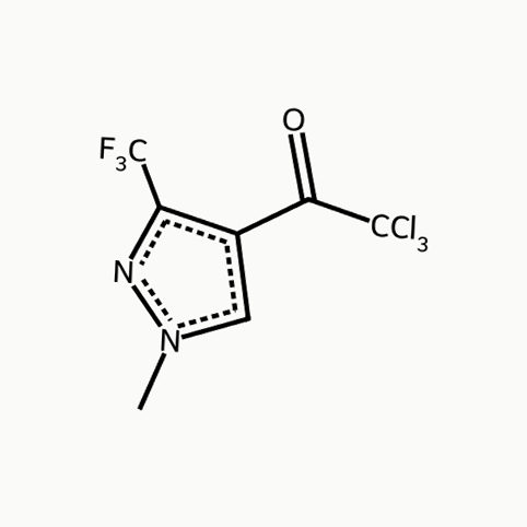 Cn1cc(C(=O)C(Cl)(Cl)Cl)c(C(F)(F)F)n1